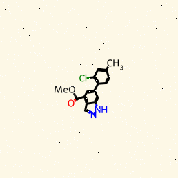 COC(=O)c1cc(-c2ccc(C)cc2Cl)cc2[nH]ncc12